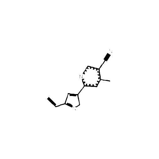 C=CC1=NCC(c2cc(C)c(C#N)cn2)=C1